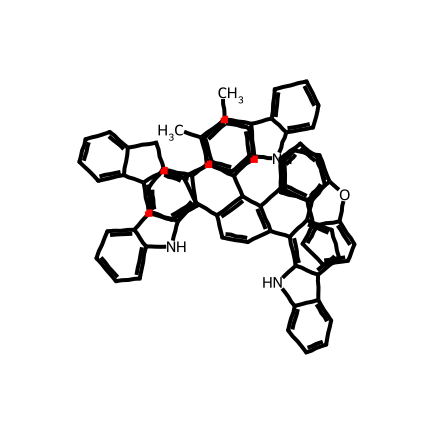 Cc1c(-c2cccc3c2Cc2ccccc2-3)c(-c2c(-c3c(-c4ccccc4)ccc4c3[nH]c3ccccc34)ccc(-c3c(-c4ccccc4)ccc4c3[nH]c3ccccc34)c2-c2cccc3oc4ccccc4c23)c2[nH]c3ccccc3c2c1C